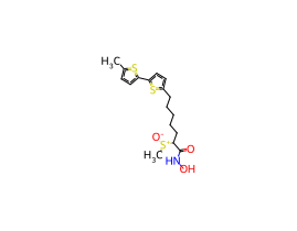 Cc1ccc(-c2ccc(CCCCCC(C(=O)NO)[S+](C)[O-])s2)s1